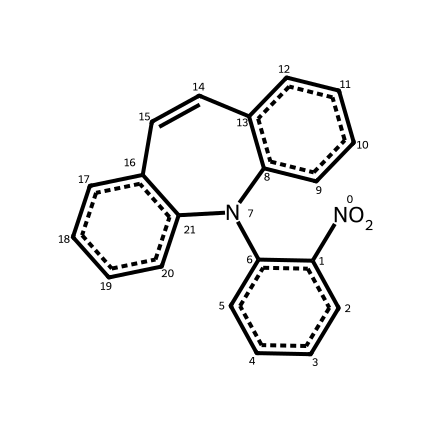 O=[N+]([O-])c1ccccc1N1c2ccccc2C=Cc2ccccc21